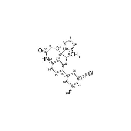 CCC1(c2cccs2)OCC(=O)Nc2ccc(-c3cc(F)cc(C#N)c3)cc21